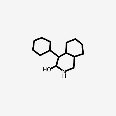 OC1NCC2CCCCC2C1C1CCCCC1